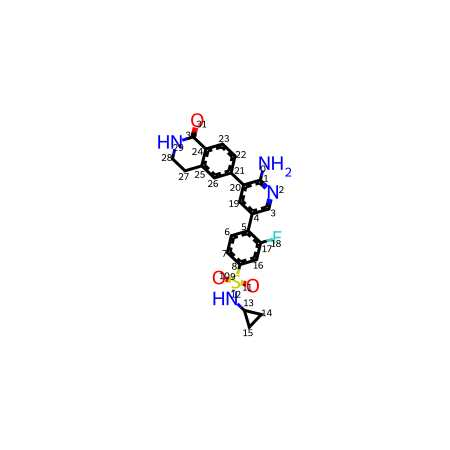 Nc1ncc(-c2ccc(S(=O)(=O)NC3CC3)cc2F)cc1-c1ccc2c(c1)CCNC2=O